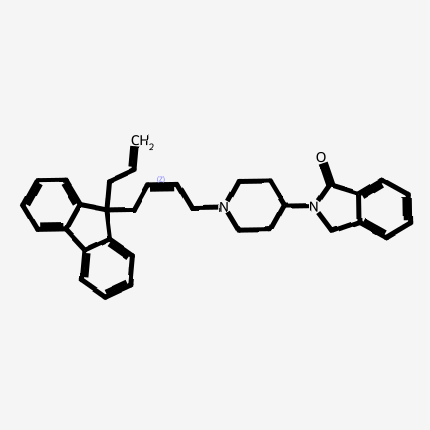 C=CCC1(C/C=C\CN2CCC(N3Cc4ccccc4C3=O)CC2)c2ccccc2-c2ccccc21